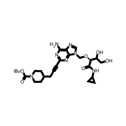 CC(C)COC(=O)N1CCC(CC#Cc2nc(N)c3ncn(CO[C@H](C(=O)NC4CC4)C(O)CO)c3n2)CC1